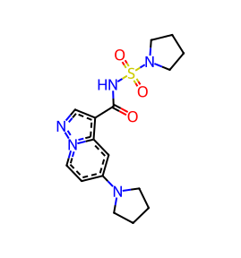 O=C(NS(=O)(=O)N1CCCC1)c1cnn2ccc(N3CCCC3)cc12